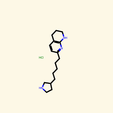 Cl.c1cc2c(nc1CCCCCC1CCNC1)NCCC2